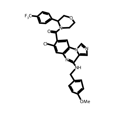 COc1ccc(CNc2nc3cc(Cl)c(C(=O)N4CCOCC4c4ccc(C(F)(F)F)cc4)cc3n3cncc23)cc1